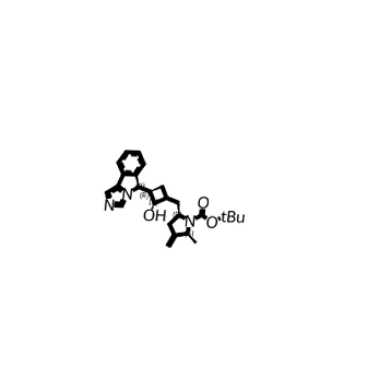 C=C1C[C@@H](CC2C[C@H]([C@@H]3c4ccccc4-c4cncn43)[C@H]2O)N(C(=O)OC(C)(C)C)[C@H]1C